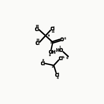 CO.ClC(Cl)Cl.O=C(O)C(Cl)(Cl)Cl